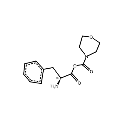 N[C@@H](Cc1ccccc1)C(=O)OC(=O)N1CCOCC1